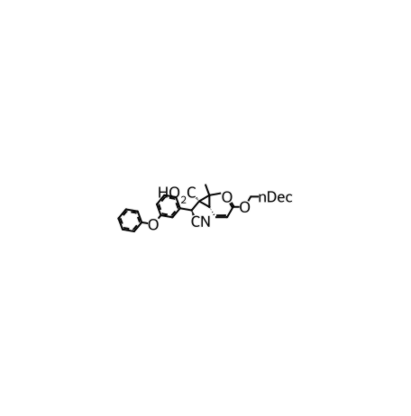 CCCCCCCCCCCOC(=O)/C=C\[C@H]1C(C)(C)[C@]1(C(=O)O)[C@@H](C#N)c1cccc(Oc2ccccc2)c1